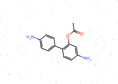 CC(=O)Oc1cc(N)ccc1-c1ccc(N)cc1